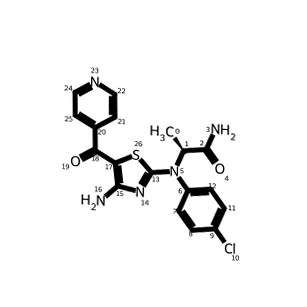 C[C@@H](C(N)=O)N(c1ccc(Cl)cc1)c1nc(N)c(C(=O)c2ccncc2)s1